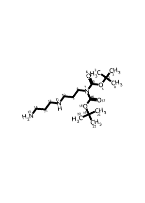 CC(C)(C)OC(=O)N(CCCNCCCN)C(=O)OC(C)(C)C